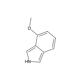 COc1cccc2c[nH]cc12